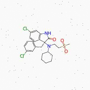 CS(=O)(=O)CCN(C1CCCCC1)C1(Cc2cccc(Cl)c2)C(=O)Nc2cc(Cl)ccc21